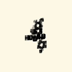 Cc1ccc(C(=O)/N=c2\sc3cc(C)ccc3n2C(C)C(=O)O)cc1